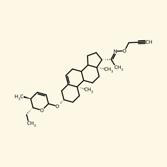 C#CCO/N=C(\C)[C@H]1CCC2C3CC=C4C[C@@H](OC5C=C[C@H](C)[C@@H](CC)O5)CC[C@]4(C)C3CC[C@@]21C